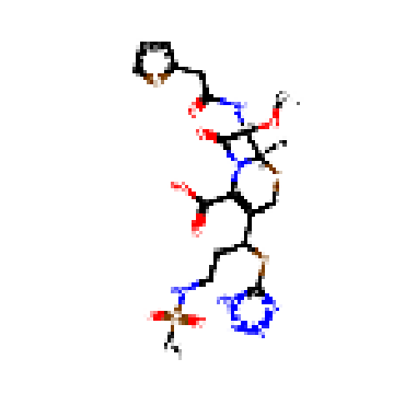 CO[C@@]1(NC(=O)Cc2cccs2)C(=O)N2C(C(=O)O)=C(C(CCNS(C)(=O)=O)Sc3nnn[nH]3)CS[C@H]21